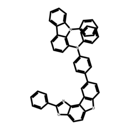 c1ccc(-c2nc3c(ccc4oc5ccc(-c6ccc(N(c7ccccc7)c7cccc8c9ccccc9n(-c9ccccc9)c78)cc6)cc5c43)o2)cc1